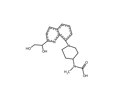 CN(C(=O)O)C1CCN(c2cccc3ccc(C(O)CO)nc23)CC1